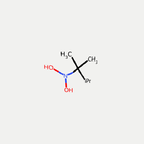 CC(C)C(C)(C)N(O)O